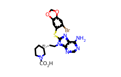 Nc1ncnc2c1nc(Sc1cc3c(cc1Br)OCO3)n2CC[C@H]1CCCN(C(=O)O)C1